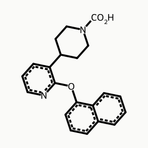 O=C(O)N1CCC(c2cccnc2Oc2cccc3ccccc23)CC1